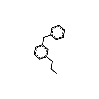 CCCc1cccc(Cc2ccccc2)c1